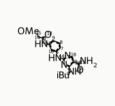 CCC(C)Nc1nc(Nc2cccc(NC(=O)COC)c2)ncc1C(N)=O